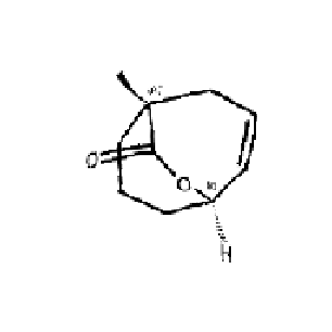 C[C@]12CC=C[C@@H](CCC1)OC2=O